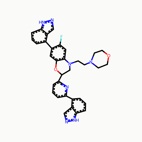 Fc1cc2c(cc1-c1cccc3[nH]ncc13)OC(c1cccc(-c3cccc4[nH]ncc34)n1)CN2CCN1CCOCC1